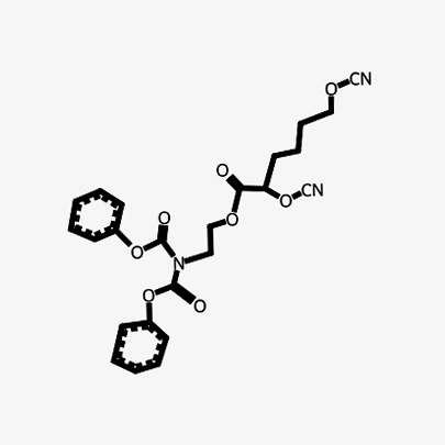 N#COCCCCC(OC#N)C(=O)OCCN(C(=O)Oc1ccccc1)C(=O)Oc1ccccc1